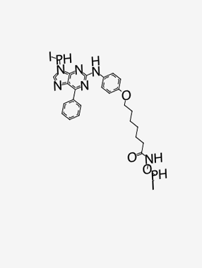 O=C(CCCCCCOc1ccc(Nc2nc(-c3ccccc3)c3ncn(PI)c3n2)cc1)NOPI